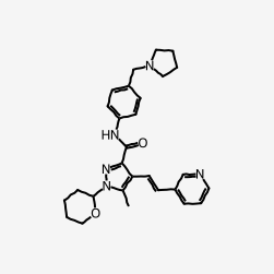 Cc1c(C=Cc2cccnc2)c(C(=O)Nc2ccc(CN3CCCC3)cc2)nn1C1CCCCO1